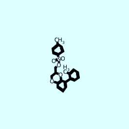 Cc1ccc(S(=O)(=O)OCC2COc3cccc(-c4ccccc4C)c3O2)cc1